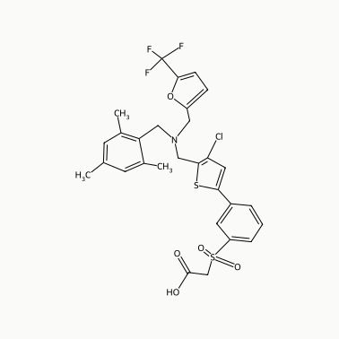 Cc1cc(C)c(CN(Cc2ccc(C(F)(F)F)o2)Cc2sc(-c3cccc(S(=O)(=O)CC(=O)O)c3)cc2Cl)c(C)c1